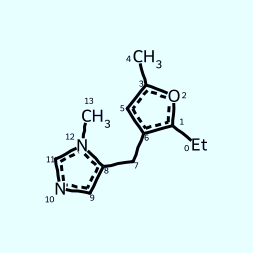 CCc1oc(C)cc1Cc1cncn1C